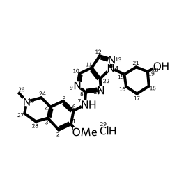 COc1cc2c(cc1Nc1ncc3cnn(C4CCCC(O)C4)c3n1)CN(C)CC2.Cl